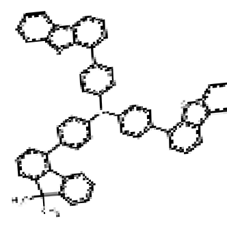 CC1(C)c2ccccc2-c2c(-c3ccc(N(c4ccc(-c5cccc6c5sc5ccccc56)cc4)c4ccc(-c5cccc6c5sc5ccccc56)cc4)cc3)cccc21